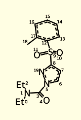 CCN(CC)C(=O)n1ccc(S(=O)(=O)c2ccccc2C)n1